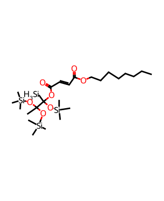 CCCCCCCCOC(=O)C=CC(=O)OC([SiH3])(O[Si](C)(C)C)C(C)(O[Si](C)(C)C)O[Si](C)(C)C